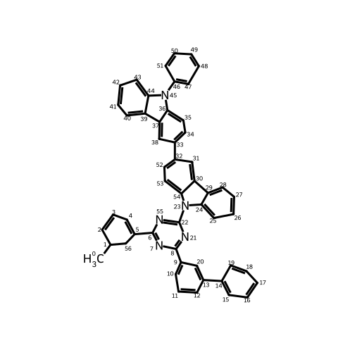 CC1C=CC=C(c2nc(-c3cccc(-c4ccccc4)c3)nc(-n3c4ccccc4c4cc(-c5ccc6c(c5)c5ccccc5n6-c5ccccc5)ccc43)n2)C1